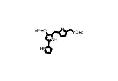 CCCCCCCCCCCC1=N/C(=C/c2[nH]c(-c3ccc[nH]3)cc2OCCC)C=C1